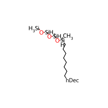 CCCCCCCCCCCCCCCCCC[SiH](C)O[SiH2]O[SiH2]O[SiH3]